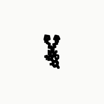 Cc1cc(C)c(-c2cn(C)c3nc(N(CCCn4cccc4)CCCn4cccc4)n(C)c(=O)c23)c(C)c1